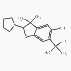 CC(C)(C)c1cc2c(cc1O)C(C)(C)C(N1CCCC1)O2